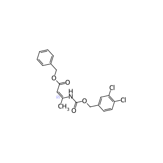 C/C(=C/C(=O)OCc1ccccc1)NC(=O)OCc1ccc(Cl)c(Cl)c1